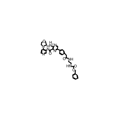 Nc1ncc(-c2ccc(CC(=O)NCCNC(=O)OCc3ccccc3)cc2)nc1C(=O)Nc1cnccc1N1CCOCC1